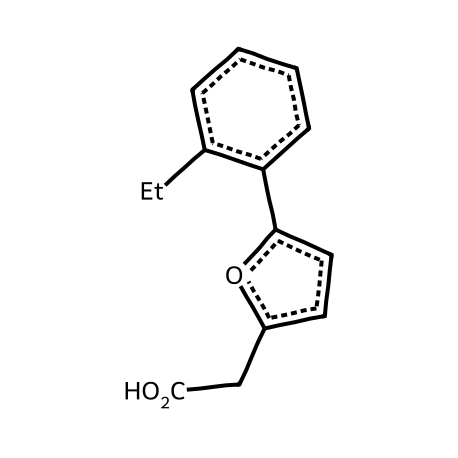 CCc1ccccc1-c1ccc(CC(=O)O)o1